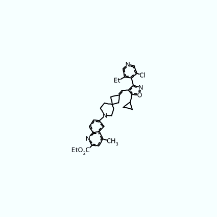 CCOC(=O)c1cc(C)c2cc(N3CCC4(CC3)CC(=Cc3c(-c5c(Cl)cncc5CC)noc3C3CC3)C4)ccc2n1